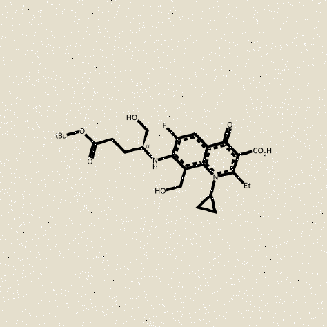 CCc1c(C(=O)O)c(=O)c2cc(F)c(N[C@H](CO)CCC(=O)OC(C)(C)C)c(CO)c2n1C1CC1